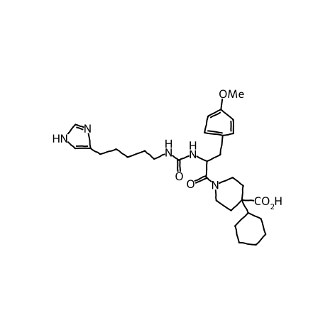 COc1ccc(CC(NC(=O)NCCCCCc2c[nH]cn2)C(=O)N2CCC(C(=O)O)(C3CCCCC3)CC2)cc1